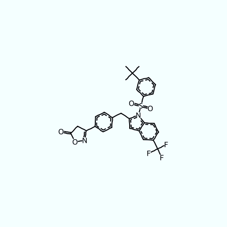 CC(C)(C)c1cccc(S(=O)(=O)n2c(Cc3ccc(C4=NOC(=O)C4)cc3)cc3cc(C(F)(F)F)ccc32)c1